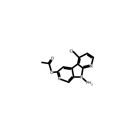 CC(=O)Oc1cc2c3c(Cl)ccnc3n(P)c2cn1